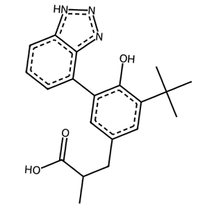 CC(Cc1cc(-c2cccc3[nH]nnc23)c(O)c(C(C)(C)C)c1)C(=O)O